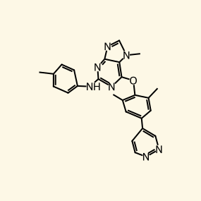 Cc1ccc(Nc2nc(Oc3c(C)cc(-c4ccnnc4)cc3C)c3c(ncn3C)n2)cc1